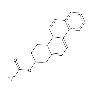 CC(=O)OC1CCC2C(=CC=C3c4ccccc4C=CC32)C1